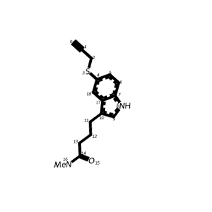 C#CCSc1ccc2[nH]cc(CCCC(=O)NC)c2c1